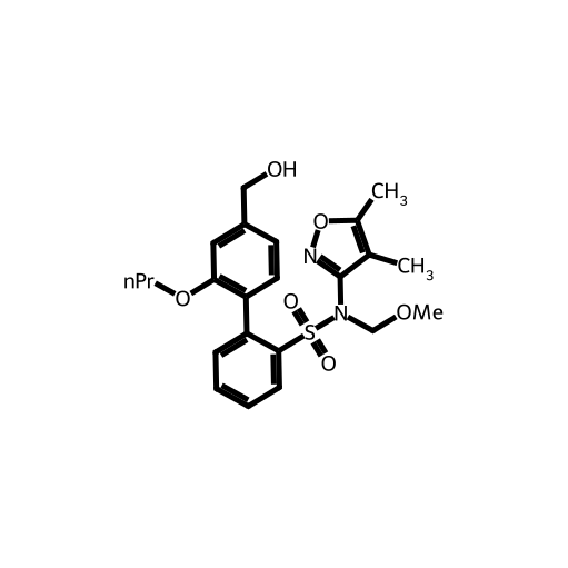 CCCOc1cc(CO)ccc1-c1ccccc1S(=O)(=O)N(COC)c1noc(C)c1C